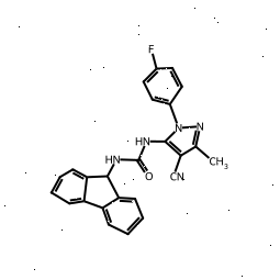 Cc1nn(-c2ccc(F)cc2)c(NC(=O)NC2c3ccccc3-c3ccccc32)c1C#N